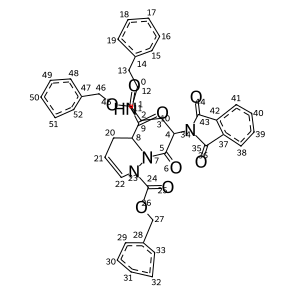 O=C(CCC(C(=O)N1C(C(=O)NCCc2ccccc2)CC=CN1C(=O)OCc1ccccc1)N1C(=O)c2ccccc2C1=O)OCc1ccccc1